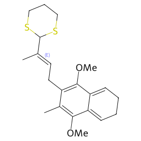 COc1c(C)c(C/C=C(\C)C2SCCCS2)c(OC)c2c1=CCCC=2